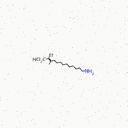 CCC(C(=O)O)=C(C)CCCCCCCCCCN